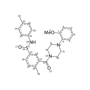 COc1ccccc1N1CCN(C(=O)c2cc([S+]([O-])Nc3ccc(C)cc3)ccc2C)CC1